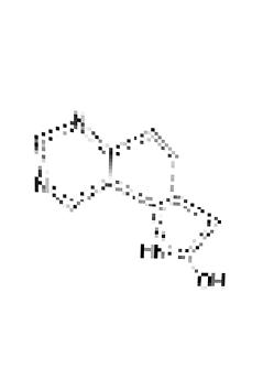 Oc1cc2ccc3ncncc3c2[nH]1